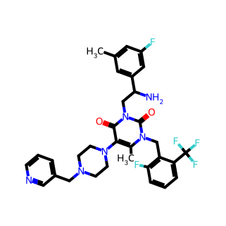 Cc1cc(F)cc(C(N)Cn2c(=O)c(N3CCN(Cc4cccnc4)CC3)c(C)n(Cc3c(F)cccc3C(F)(F)F)c2=O)c1